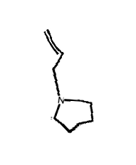 C=CCN1[C]CCC1